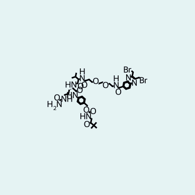 CC(C)C(NC(=O)CCOCCOCCNC(=O)c1ccc2nc(CBr)c(CBr)nc2c1)C(=O)N[C@@H](CCCNC(N)=O)C(=O)Nc1ccc(COC(=O)NCC(=O)C(C)(C)C)cc1